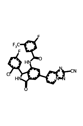 N#Cc1nc2cc(-c3cc(NC(=O)c4cc(F)cc(C(F)(F)F)c4)c4c(c3)C(=O)NC4c3cc(F)ccc3Cl)ccn2n1